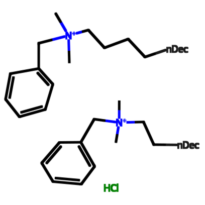 CCCCCCCCCCCCCC[N+](C)(C)Cc1ccccc1.CCCCCCCCCCCC[N+](C)(C)Cc1ccccc1.Cl